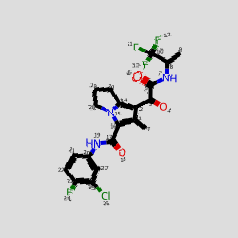 Cc1c(C(=O)C(=O)NC(C)C(F)(F)F)c2n(c1C(=O)Nc1ccc(F)c(Cl)c1)CCC2